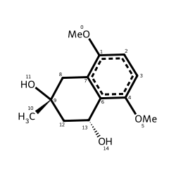 COc1ccc(OC)c2c1C[C@@](C)(O)C[C@H]2O